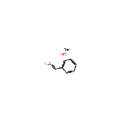 C=Cc1ccccc1.[Na+].[OH-]